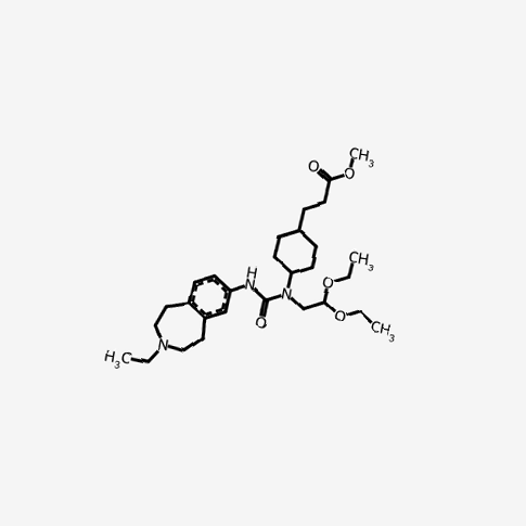 CCOC(CN(C(=O)Nc1ccc2c(c1)CCN(CC)CC2)C1CCC(CCC(=O)OC)CC1)OCC